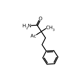 CC(=O)C(C)(CCc1ccccc1)C(N)=O